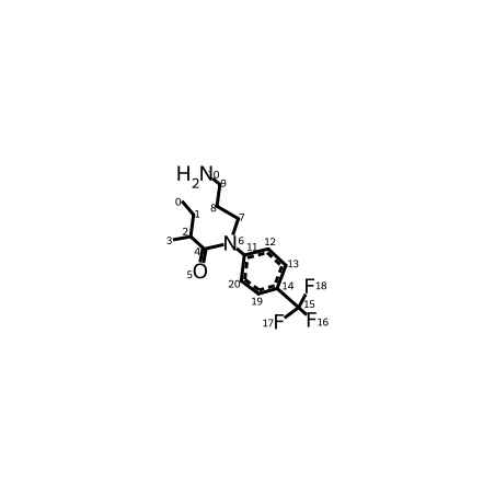 CCC(C)C(=O)N(CCCN)c1ccc(C(F)(F)F)cc1